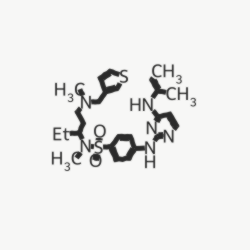 C/C=C(\C)Nc1ccnc(Nc2ccc(S(=O)(=O)N(C)C(CC)CCN(C)Cc3ccsc3)cc2)n1